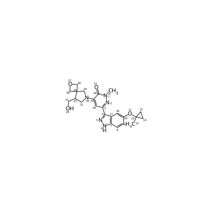 Cn1nc(-c2n[nH]c3ccc(OC4(C)CC4)cc23)cc(N2CC(CO)C3(COC3)C2)c1=O